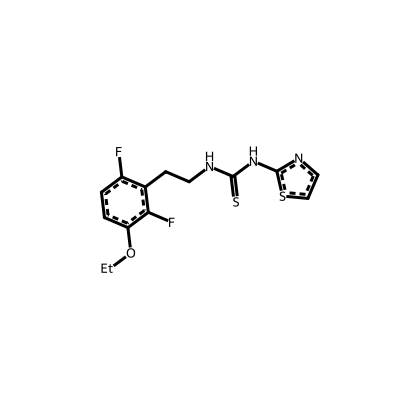 CCOc1ccc(F)c(CCNC(=S)Nc2nccs2)c1F